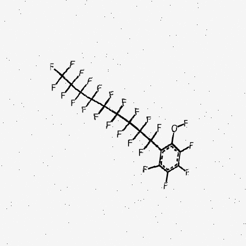 FOc1c(F)c(F)c(F)c(F)c1C(F)(F)C(F)(F)C(F)(F)C(F)(F)C(F)(F)C(F)(F)C(F)(F)C(F)(F)C(F)(F)F